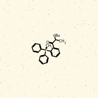 C=P(c1ccccc1)(c1ccccc1)c1ccccc1C(=O)C(C)CCCC